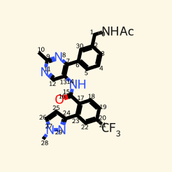 CC(=O)NCc1cccc(-c2nc(C)ncc2NC(=O)c2ccc(C(F)(F)F)cc2-c2ccn(C)n2)c1